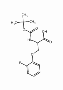 CC(C)(C)OC(=O)NC(COc1ccccc1F)C(=O)O